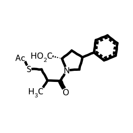 CC(=O)SCC(C)C(=O)N1CC(c2ccccc2)C[C@H]1C(=O)O